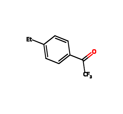 CCc1ccc(C(=O)C(F)(F)F)cc1